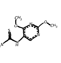 COc1ncc(NC(N)=S)c(OC)n1